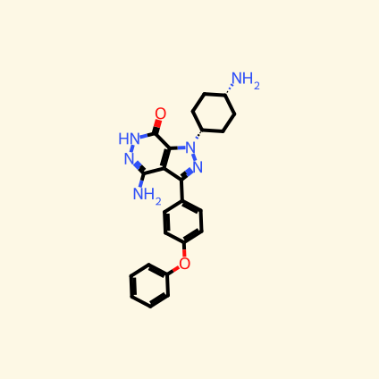 Nc1n[nH]c(=O)c2c1c(-c1ccc(Oc3ccccc3)cc1)nn2[C@H]1CC[C@@H](N)CC1